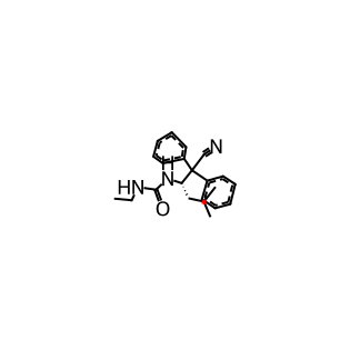 CCNC(=O)N[C@@H](CC(C)C)C(C#N)(c1ccccc1)c1ccccc1